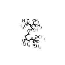 COC(CCOP(O)N(C(C)C)C(C)C)CCP(=O)(OC)OC